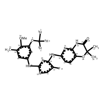 [2H]C([2H])([2H])Oc1cc(Nc2ncc(F)c(Nc3ccc4c(n3)NC(=O)C(C)(C)O4)n2)cc(C)c1OC